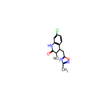 Cc1noc(CC2c3ccc(Cl)cc3NC(=O)C2[N+](=O)[O-])n1